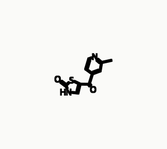 Cc1cc(C(=O)c2c[nH]c(=O)s2)ccn1